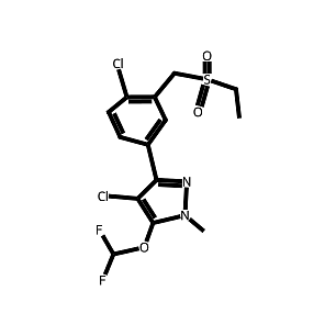 CCS(=O)(=O)Cc1cc(-c2nn(C)c(OC(F)F)c2Cl)ccc1Cl